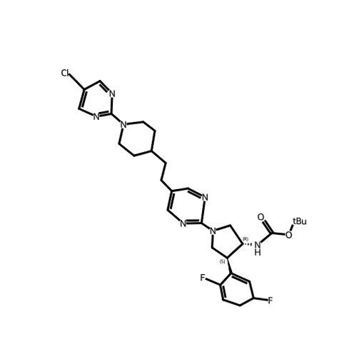 CC(C)(C)OC(=O)N[C@H]1CN(c2ncc(CCC3CCN(c4ncc(Cl)cn4)CC3)cn2)C[C@@H]1C1=CC(F)CC=C1F